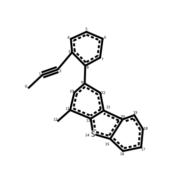 CC#Cc1ccccc1-c1cc(C)c2sc3ccccc3c2c1